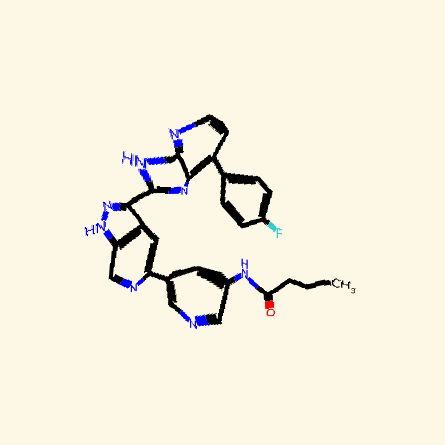 CCCC(=O)Nc1cncc(-c2cc3c(-c4nc5c(-c6ccc(F)cc6)ccnc5[nH]4)n[nH]c3cn2)c1